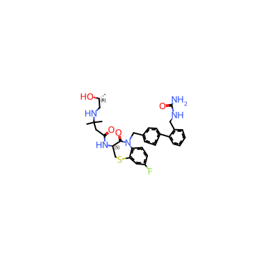 C[C@@H](O)CNC(C)(C)CC(=O)N[C@@H]1CSc2cc(F)ccc2N(Cc2ccc(-c3ccccc3CNC(N)=O)cc2)C1=O